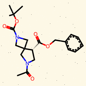 CC(=O)N1C[C@@H](C(=O)OCc2ccccc2)C2(C1)CN(C(=O)OC(C)(C)C)C2